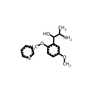 COc1ccc(OC)c(C(O)C(C)N)c1.c1ccncc1